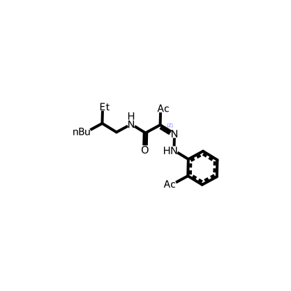 CCCCC(CC)CNC(=O)/C(=N\Nc1ccccc1C(C)=O)C(C)=O